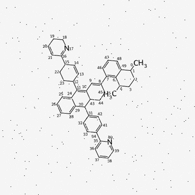 CC1CCC(C)c2c(C3=CC4=C(C5C=CC(C6=NCCC=C6)CC5)c5ccccc5C(c5ccc(-c6ccccn6)cc5)C4CC3)cccc21